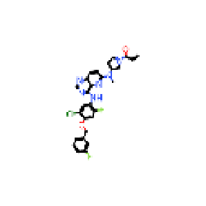 C=CC(=O)N1CCC(N(C)c2ccc3ncnc(Nc4cc(Cl)c(OCc5cccc(F)c5)cc4F)c3n2)C1